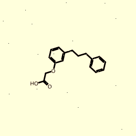 O=C(O)COc1cccc(CCCc2ccccc2)c1